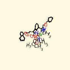 CN(CCCn1c(C(=O)O)c(CCCOc2cccc3ccccc23)c2cccc(-c3c(COCc4ccccc4)nn(C)c3CBr)c21)C(=O)OC(C)(C)C